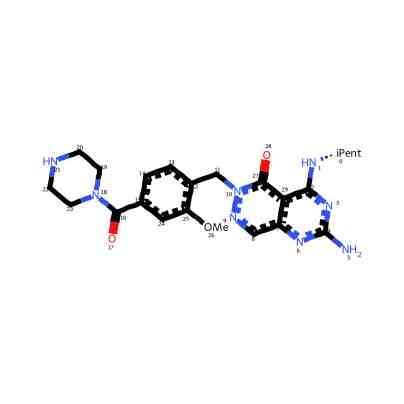 CCC[C@@H](C)Nc1nc(N)nc2cnn(Cc3ccc(C(=O)N4CCNCC4)cc3OC)c(=O)c12